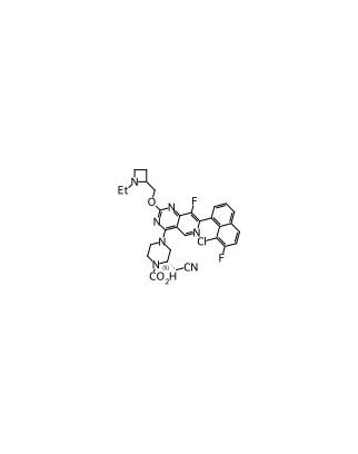 CCN1CCC1COc1nc(N2CCN(C(=O)O)[C@@H](CC#N)C2)c2cnc(-c3cccc4ccc(F)c(Cl)c34)c(F)c2n1